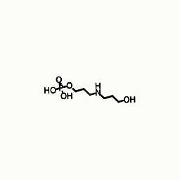 O=P(O)(O)OCCCNCCCO